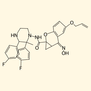 C=CCOc1ccc2c(c1)C(=NO)C1CC1(C(=O)NN1CCNC(c3ccc(F)cc3)C1(C)c1ccc(F)cc1)O2